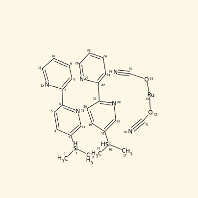 C[SiH](C)c1ccc(-c2ccccn2)nc1.C[SiH](C)c1ccc(-c2ccccn2)nc1.N#C[O][Ru][O]C#N